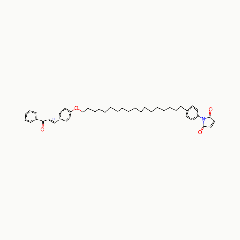 O=C(/C=C/c1ccc(OCCCCCCCCCCCCCCCCCCc2ccc(N3C(=O)C=CC3=O)cc2)cc1)c1ccccc1